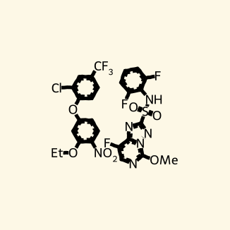 CCOc1cc(Oc2ccc(C(F)(F)F)cc2Cl)ccc1[N+](=O)[O-].COc1ncc(F)c2nc(S(=O)(=O)Nc3c(F)cccc3F)nn12